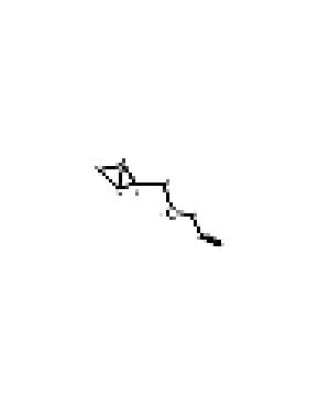 C=CCOCC1C2CC12